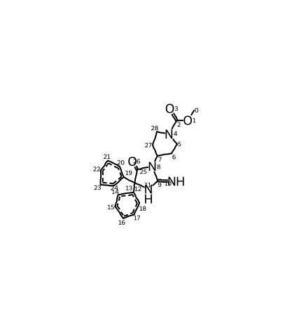 COC(=O)N1CCC(N2C(=N)NC(c3ccccc3)(c3ccccc3)C2=O)CC1